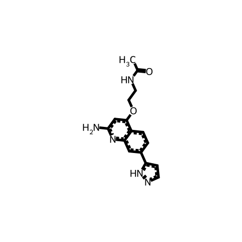 CC(=O)NCCOc1cc(N)nc2cc(-c3ccn[nH]3)ccc12